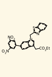 CCOC(=O)Cc1cn(Cc2nc3ccccc3s2)c2cc(-c3cc([N+](=O)[O-])cc([N+](=O)[O-])c3)ccc12